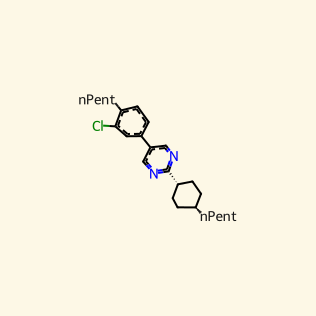 CCCCCc1ccc(-c2cnc([C@H]3CC[C@H](CCCCC)CC3)nc2)cc1Cl